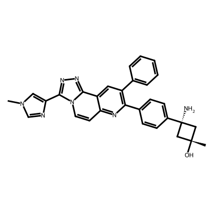 Cn1cnc(-c2nnc3c4cc(-c5ccccc5)c(-c5ccc([C@]6(N)C[C@@](C)(O)C6)cc5)nc4ccn23)c1